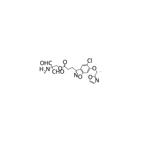 C[C@@H](Oc1cc2onc(CCC(=O)OCC(N)(C=O)C=O)c2cc1Cl)c1ncco1